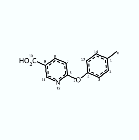 Cc1ccc(Oc2ccc(C(=O)O)cn2)cc1